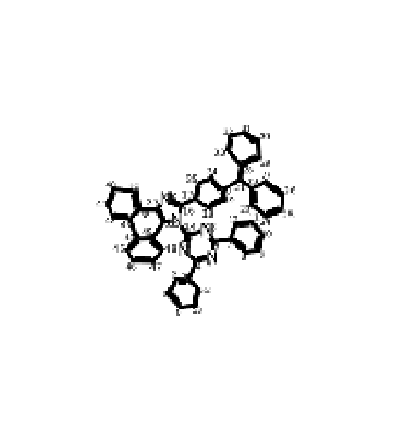 c1ccc(-c2nc(-c3ccccc3)nc(-n3c(-c4ccc(C(c5ccccc5)c5ccccc5)cc4)nc4c5ccccc5c5ccccc5c43)n2)cc1